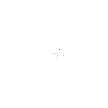 O.O.[F][Ta]([F])([F])[F]